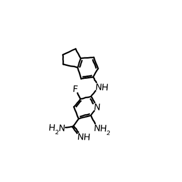 N=C(N)c1cc(F)c(Nc2ccc3c(c2)CCC3)nc1N